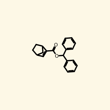 O=C(OC(c1ccccc1)c1ccccc1)C1=CC2CCC1C2